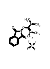 CN(C)C(ON1C(=O)c2ccccc2C1=O)=[N+](C)C.F[B-](F)(F)F